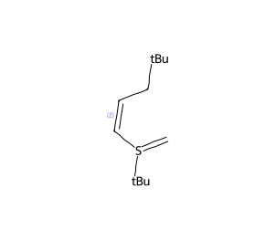 C=S(/C=C\CC(C)(C)C)C(C)(C)C